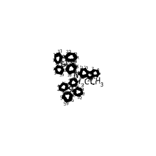 CC1(C)c2ccccc2-c2ccc(N(c3ccc([Si](c4ccccc4)(c4ccccc4)c4ccccc4)cc3)c3ccc([Si](c4ccccc4)(c4ccccc4)c4ccccc4)cc3)cc21